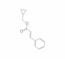 O=C(C=Cc1ccccc1)OCC1CC1